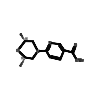 COC(=O)c1ccc(N2C[C@@H](C)O[C@@H](C)C2)nc1